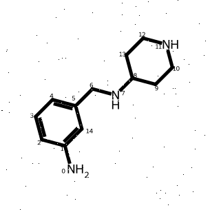 Nc1cccc(CNC2CCNCC2)c1